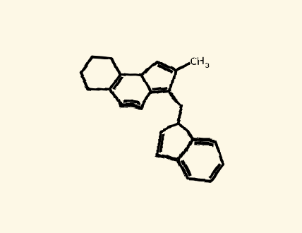 CC1=CC2C(=C1CC1C=Cc3ccccc31)C=CC1=C2CCCC1